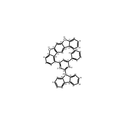 c1ccc(-c2cc(-c3cccc4oc5cc6oc7ccccc7c6cc5c34)nc(-n3c4ccccc4c4ccccc43)n2)cc1